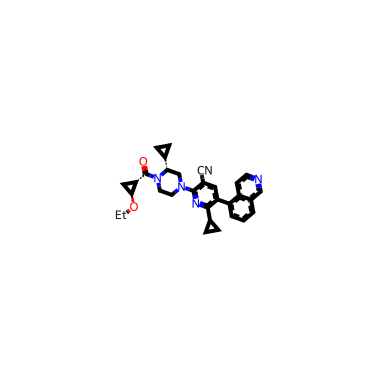 CCO[C@H]1C[C@@H]1C(=O)N1CCN(c2nc(C3CC3)c(-c3cccc4cnccc34)cc2C#N)C[C@H]1C1CC1